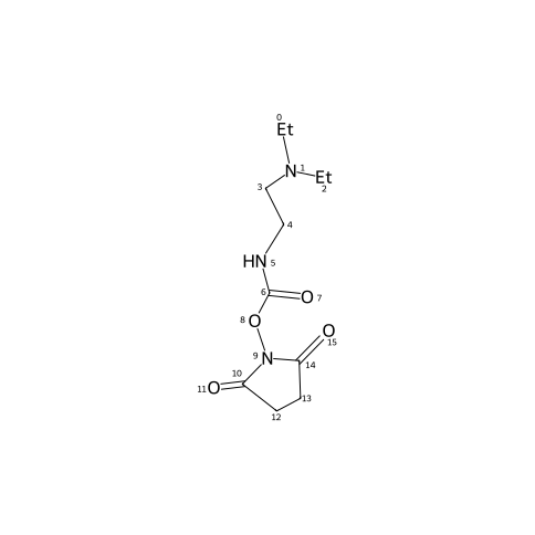 CCN(CC)CCNC(=O)ON1C(=O)CCC1=O